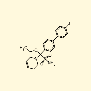 CCOC(c1ccc(-c2ccc(F)cc2)cc1)(N1CC=CCC1)S(N)(=O)=O